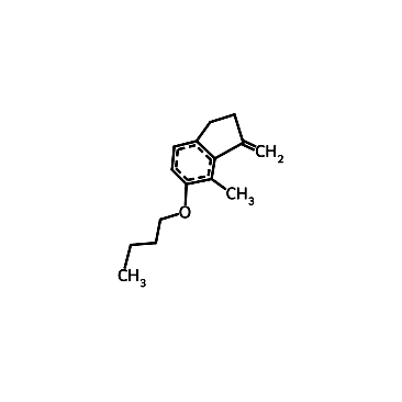 C=C1CCc2ccc(OCCCC)c(C)c21